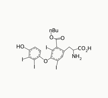 CCCCOC(=O)c1c(CC(N)C(=O)O)cc(I)c(Oc2ccc(O)c(I)c2I)c1I